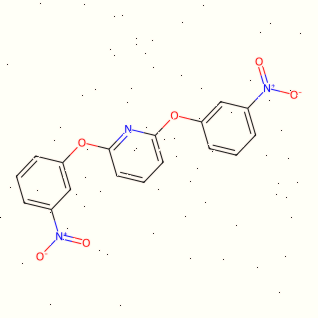 O=[N+]([O-])c1cccc(Oc2cccc(Oc3cccc([N+](=O)[O-])c3)n2)c1